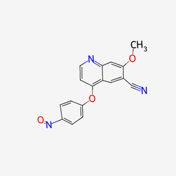 COc1cc2nccc(Oc3ccc(N=O)cc3)c2cc1C#N